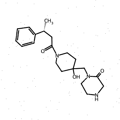 C[C@H](CC(=O)N1CCC(O)(CN2CCNCC2=O)CC1)c1ccccc1